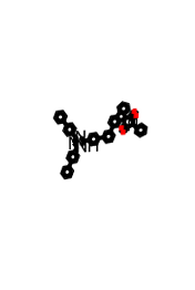 c1ccc(-c2ccc(C3=NC(c4ccc(-c5ccccc5)cc4)NC(c4ccc(-c5cccc(-c6ccc7c(c6)C6(c8ccccc8-7)c7ccccc7N(c7ccccc7)c7ccccc76)c5)cc4)=N3)cc2)cc1